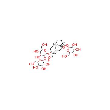 CC1(C(=O)O[C@@H]2O[C@H](CO)[C@@H](O)[C@H](O)[C@H]2O)CCC[C@@]2(C)[C@H]1CC[C@@]13C=C(CO)[C@](O[C@@H]4O[C@H](CO)[C@@H](O)[C@H](O)[C@H]4O[C@@H]4O[C@H](CO)[C@@H](O)[C@H](O)[C@H]4O)(CC[C@@H]12)C3